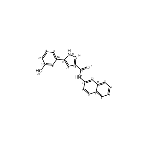 O=C(Nc1ccc2ccccc2c1)c1cc(-c2cccc(O)c2)[nH]n1